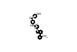 Cc1ccccc1-c1cccc2c1ccn2-c1ccnc(N[C@H]2CC[C@H](C(=O)N3CCC(O)CC3)CC2)n1